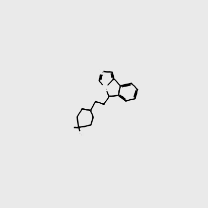 NC1(F)CCC(CCC2c3ccccc3-c3cncn32)CC1